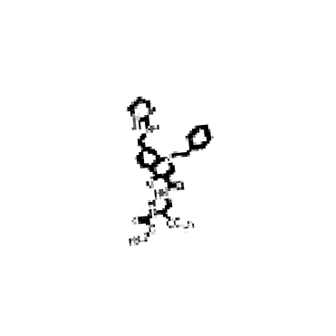 CCCCOC(=O)NC(CNC(=O)c1cn(CCc2ccccc2)c2cc(CNC3N=CCCN3)ccc2c1=O)C(=O)O